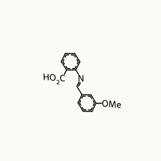 COc1cccc(C=Nc2ccccc2C(=O)O)c1